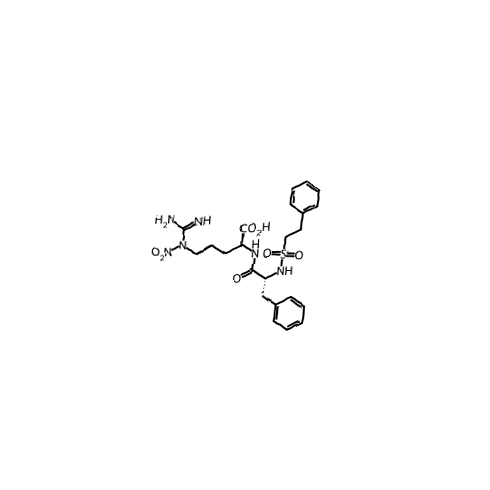 N=C(N)N(CCC[C@H](NC(=O)[C@@H](Cc1ccccc1)NS(=O)(=O)CCc1ccccc1)C(=O)O)[N+](=O)[O-]